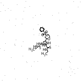 CCNC(=S)NNCC(NNC(=S)NCC)C1CN(S(=O)(=O)c2ccccc2)CCO1